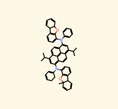 CC(C)c1cc(N(C2=CC=CCC2)c2cccc3c2OC2(C)C=CC=CC32)c2ccc3c(C(C)C)cc(N(c4ccccc4)c4cccc5c4OC4C=CC=CC54)c4ccc1c2c34